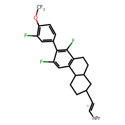 CCC/C=C/C1CCC2c3cc(F)c(-c4ccc(OC(F)(F)F)c(F)c4)c(F)c3CCC2C1